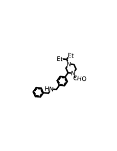 CCC(CC)N1CCN(C=O)C(c2ccc(CNCc3ccccc3)cc2)C1